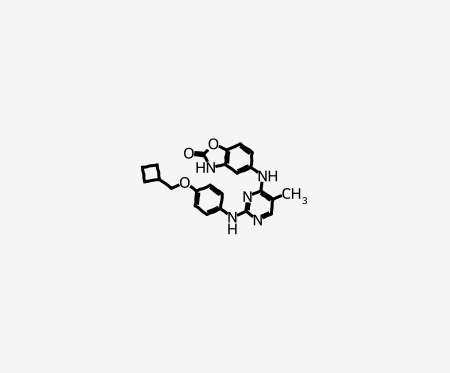 Cc1cnc(Nc2ccc(OCC3CCC3)cc2)nc1Nc1ccc2oc(=O)[nH]c2c1